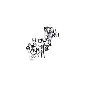 Cn1c(Nc2cc(C(C)(C)C)n([C@H]3COC[C@@H]3O)n2)nc2ncc(O/C(C=N)=C3\C=NC=CN3)c(Cl)c21